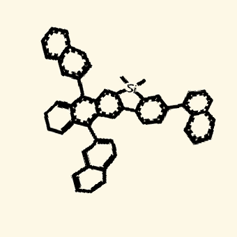 C[Si]1(C)c2cc(-c3cccc4ccccc34)ccc2-c2cc3c(C4=CC=C5C=CC=CC5C4)c4c(c(-c5ccc6ccccc6c5)c3cc21)=CCCC=4